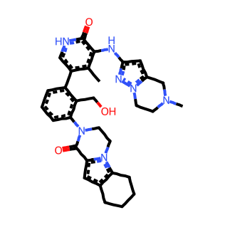 Cc1c(-c2cccc(N3CCn4c(cc5c4CCCC5)C3=O)c2CO)c[nH]c(=O)c1Nc1cc2n(n1)CCN(C)C2